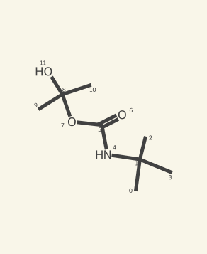 CC(C)(C)NC(=O)OC(C)(C)O